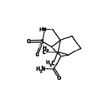 CC1(C)C2CCC13CNS(=O)(=O)C3C2C(N)=O